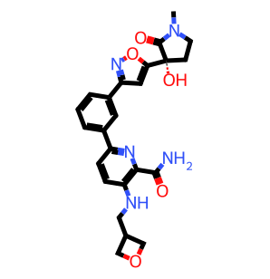 CN1CC[C@@](O)(c2cc(-c3cccc(-c4ccc(NCC5COC5)c(C(N)=O)n4)c3)no2)C1=O